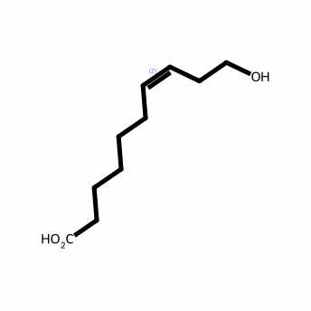 O=C(O)CCCCC/C=C\CCO